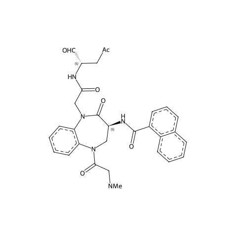 CNCC(=O)N1C[C@H](NC(=O)c2cccc3ccccc23)C(=O)N(CC(=O)N[C@H](C=O)CC(C)=O)c2ccccc21